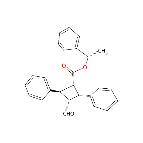 C[C@H](OC(=O)[C@H]1[C@H](c2ccccc2)[C@@H](C=O)[C@H]1c1ccccc1)c1ccccc1